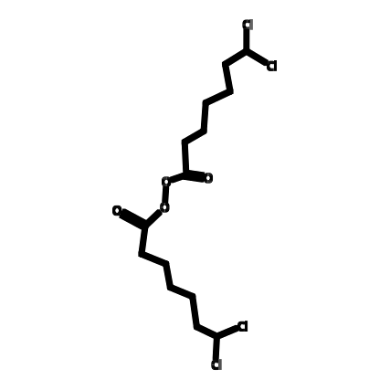 O=C(CCCCCC(Cl)Cl)OOC(=O)CCCCCC(Cl)Cl